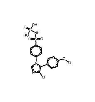 CCOc1ccc(-c2c(Cl)ncn2-c2ccc(S(=O)(=O)NP(=O)(O)O)cc2)cc1